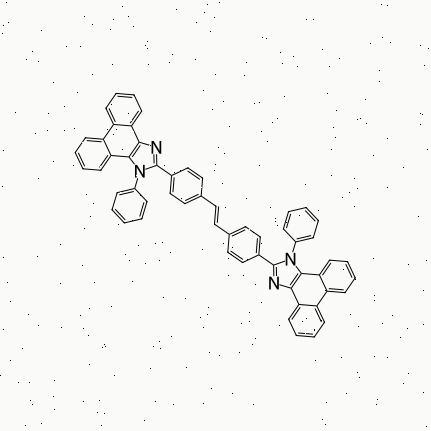 C(=Cc1ccc(-c2nc3c4ccccc4c4ccccc4c3n2-c2ccccc2)cc1)c1ccc(-c2nc3c4ccccc4c4ccccc4c3n2-c2ccccc2)cc1